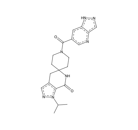 CC(C)n1ncc2c1C(=O)NC1(CCN(C(=O)c3cnc4cn[nH]c4c3)CC1)C2